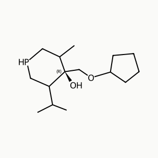 CC(C)C1CPCC(C)[C@]1(O)COC1CCCC1